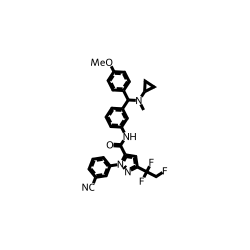 COc1ccc(C(c2cccc(NC(=O)c3cc(C(F)(F)CF)nn3-c3cccc(C#N)c3)c2)N(C)C2CC2)cc1